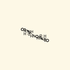 O=C(CCCNc1ccc(C(=O)N/N=C/c2cc3ccccc3[nH]2)cc1)N/N=C/c1cc2ccccc2[nH]1